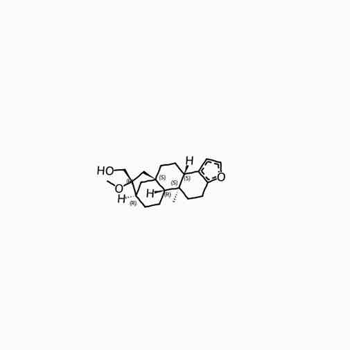 CO[C@]1(CO)C[C@@]23CC[C@@H]4c5ccoc5CC[C@@]4(C)[C@@H]2CC[C@@H]1C3